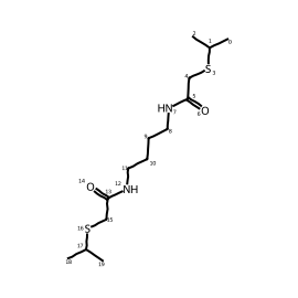 CC(C)SCC(=O)NCCCCNC(=O)CSC(C)C